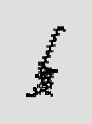 COC(=O)CC[C@@H](C)[C@H]1CCC2C3C[C@@H](O)[C@H]4C[C@@H](NCCCOCCCCOCCCN)CC[C@]4(C)C3CC[C@@]21C